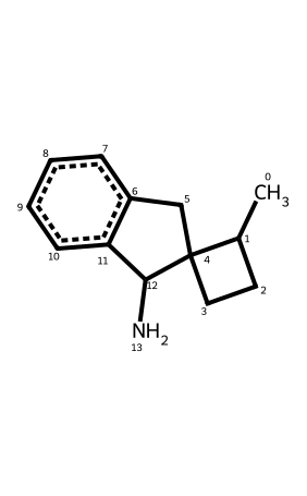 CC1CCC12Cc1ccccc1C2N